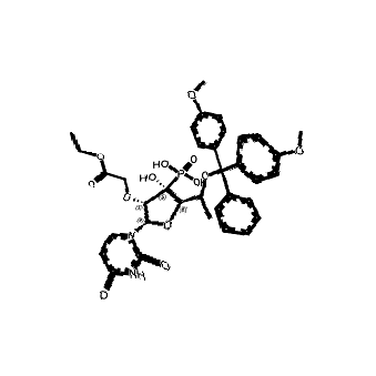 CCOC(=O)CO[C@H]1[C@H](n2ccc(=O)[nH]c2=O)O[C@H](C(C)OC(c2ccccc2)(c2ccc(OC)cc2)c2ccc(OC)cc2)[C@]1(O)P(=O)(O)O